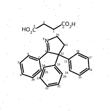 O=C(O)CCC(=O)O.c1ccc(C2=NCCC2(c2ccccc2)c2ccccc2)cc1